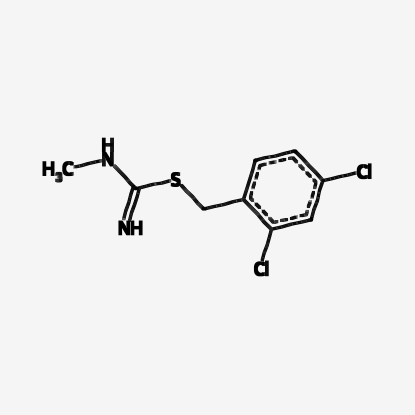 CNC(=N)SCc1ccc(Cl)cc1Cl